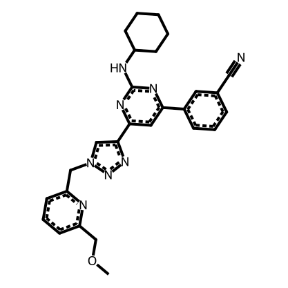 COCc1cccc(Cn2cc(-c3cc(-c4cccc(C#N)c4)nc(NC4CCCCC4)n3)nn2)n1